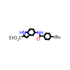 CCOC(=O)c1cc2cc(NC(=O)c3ccc(C(C)(C)C)cc3)ccc2[nH]1